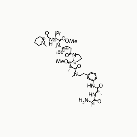 CC[C@H](C)[C@@H]([C@@H](CC(=O)N1CCC[C@H]1[C@H](OC)[C@@H](C)C(=O)N(C)CCc1cccc(NC(=O)[C@H](C)NC(=O)[C@H](C)N)c1)OC)N(C)C(=O)[C@@H](NC(=O)[C@H]1CCCCN1C)C(C)C